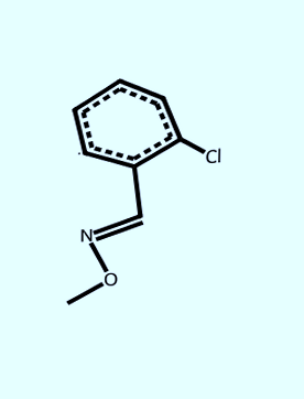 CO/N=C/c1[c]cccc1Cl